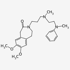 COc1cc2c(cc1OC)CC(=O)N(CCCN(C)CCN(C)c1ccccc1)CC2